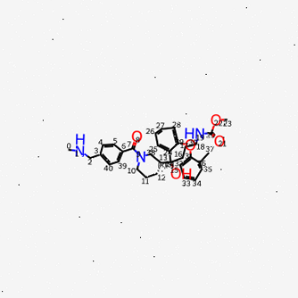 CNCc1ccc(C(=O)N2CCC[C@@H]([C@@](O)(CCCNC(=O)OC)c3ccccc3Oc3ccccc3C)C2)cc1